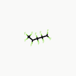 FC(F)C(F)(F)C(F)(F)C(F)C(F)(F)F